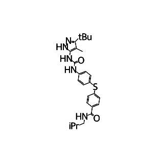 Cc1c(C(C)(C)C)n[nH]c1NC(=O)Nc1ccc(Sc2ccc(C(=O)NCC(C)C)cc2)cc1